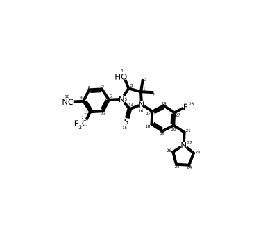 CC1(C)C(O)N(c2ccc(C#N)c(C(F)(F)F)c2)C(=S)N1c1ccc(CN2CCCC2)c(F)c1